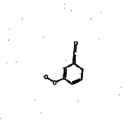 [O]OC1=[C]C(=C=O)CC=C1